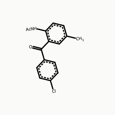 CC(=O)Nc1ccc(C)cc1C(=O)c1ccc(Cl)cc1